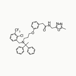 Cc1nnc(CNC(=O)Cc2cccc(OCCCN(Cc3cccc(C(F)(F)F)c3Cl)C(C)(c3ccccc3)c3ccccc3)c2)o1